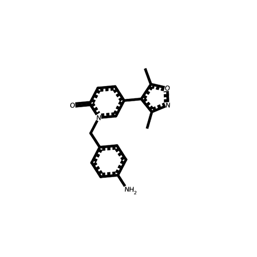 Cc1noc(C)c1-c1ccc(=O)n(Cc2ccc(N)cc2)c1